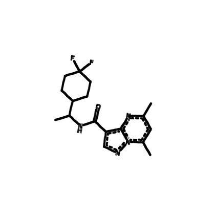 Cc1cc(C)n2ncc(C(=O)NC(C)C3CCC(F)(F)CC3)c2n1